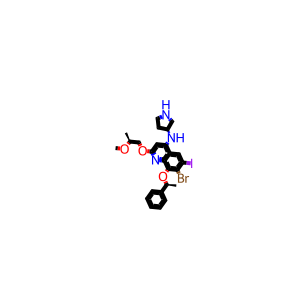 CO[C@@H](C)COc1cc(N[C@H]2CCNC2)c2cc(I)c(Br)c(O[C@@H](C)c3ccccc3)c2n1